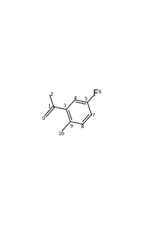 C=C(C)c1cc(F)ccc1C